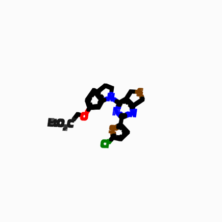 CCOC(=O)COc1ccc2c(c1)N(c1nc(-c3ccc(Cl)s3)nc3c1CSC3)CC2